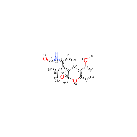 COc1cccc2c1-c1ccc3[nH]c(=O)cc(C)c3c1C(C)(OC)O2